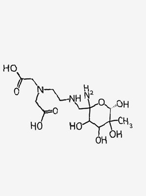 CC1(O)C(O)C(O)C(N)(CNCCN(CC(=O)O)CC(=O)O)O[C@@H]1O